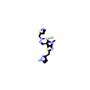 CN(Cc1ccns1)/N=C\c1c(C=O)n(C)c2nc(Cc3cc[nH]n3)sc12